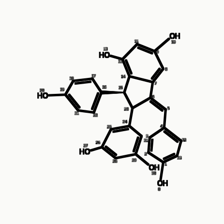 Oc1ccc(/C=C2/c3cc(O)cc(O)c3[C@H](c3ccc(O)cc3)C2c2cc(O)cc(O)c2)cc1